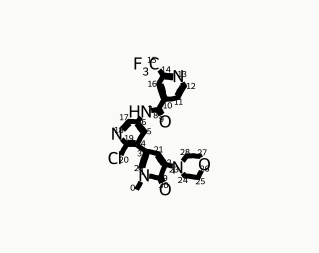 Cn1cc(-c2cc(NC(=O)c3ccnc(C(F)(F)F)c3)cnc2Cl)cc(N2CCOCC2)c1=O